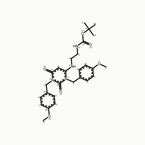 COc1ccc(Cn2c(NCCNC(=O)OC(C)(C)C)cc(=O)n(Cc3ccc(OC)cc3)c2=O)cc1